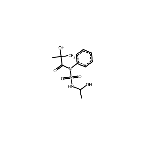 CC(O)NS(=O)(=O)N(C(=O)C(C)(O)C(F)(F)F)c1ccccc1